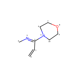 C=C/C(=N\C)N1CCOCC1